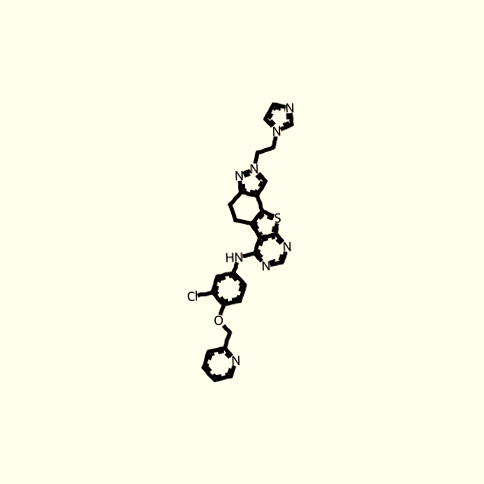 Clc1cc(Nc2ncnc3sc4c(c23)CCc2nn(CCn3ccnc3)cc2-4)ccc1OCc1ccccn1